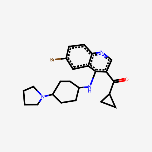 O=C(c1cnc2ccc(Br)cc2c1NC1CCC(N2CCCC2)CC1)C1CC1